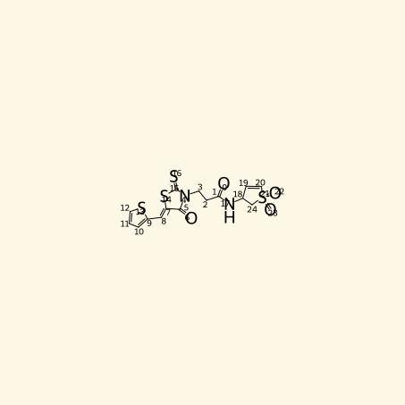 O=C(CCN1C(=O)/C(=C/c2cccs2)SC1=S)NC1C=CS(=O)(=O)C1